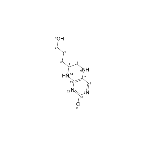 OCCCC1CNc2cnc(Cl)nc2N1